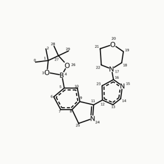 CC1(C)OB(c2ccc3c(c2)C(c2ccnc(N4CCOCC4)c2)=NC3)OC1(C)C